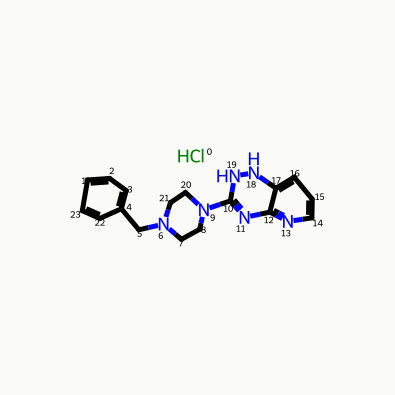 Cl.c1ccc(CN2CCN(C3=Nc4ncccc4NN3)CC2)cc1